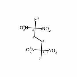 CC(CCC(F)([N+](=O)[O-])[N+](=O)[O-])([N+](=O)[O-])[N+](=O)[O-]